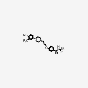 CCC(CC)NC(CC)c1ccc(OCCCN2CCN(c3ccc(C#N)c(C(F)(F)F)c3)CC2)cc1